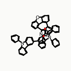 c1ccc(-c2nc(-c3ccccc3)nc(-c3cccc4oc5cccc(-c6ccc7c(c6)c6cc(-c8ccc9c(c8)c8ccccc8n9-c8ccccc8)ccc6n7-c6ccccc6)c5c34)n2)cc1